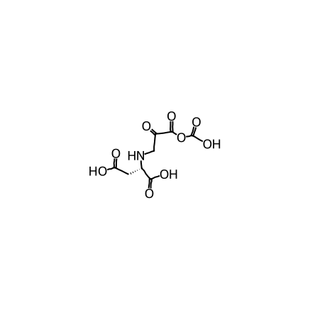 O=C(O)C[C@H](NCC(=O)C(=O)OC(=O)O)C(=O)O